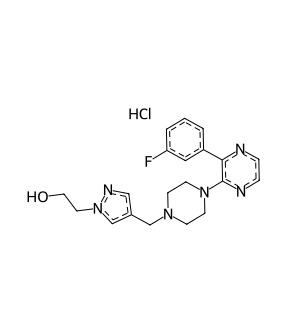 Cl.OCCn1cc(CN2CCN(c3nccnc3-c3cccc(F)c3)CC2)cn1